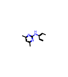 C=C/C(=C\C)Nc1nc(C)cc(C)n1